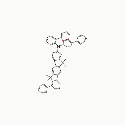 CC1(C)c2cc(N(c3ccc(-c4ccccc4)cc3)c3ccccc3-c3ccccc3)ccc2-c2cc3c(cc21)-c1cccc(-c2ccccc2)c1C3(C)C